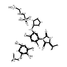 CC(C)=C1OC(=O)N(c2cc(OC3CCCC3)c(Cl)cc2F)C1=O.C[S+](C)C.N#Cc1cc(Br)c(O)c(Br)c1.O=C(O)CNCP(=O)([O-])O